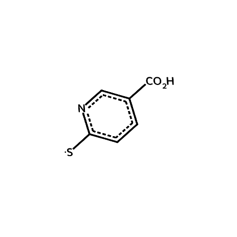 O=C(O)c1ccc([S])nc1